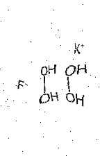 OO.OO.[F-].[K+]